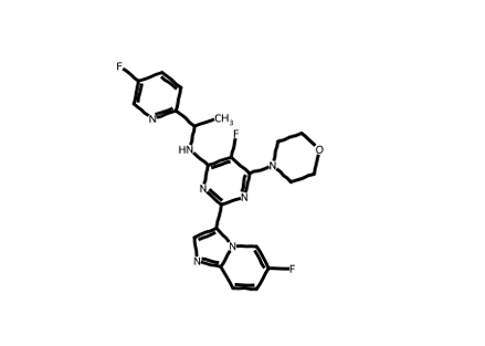 CC(Nc1nc(-c2cnc3ccc(F)cn23)nc(N2CCOCC2)c1F)c1ccc(F)cn1